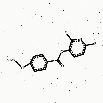 CCCCCCOc1ccc(C(=O)Oc2ccc(F)nc2F)cc1